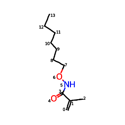 C=C(C)C(=O)NOCCCCCCC